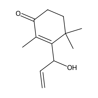 C=CC(O)C1=C(C)C(=O)CCC1(C)C